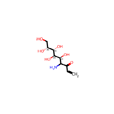 C=CC(=O)C(N)[C@H](O)[C@@H](O)[C@@H](O)[C@H](O)CO